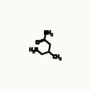 CC(CN)CC(N)=O